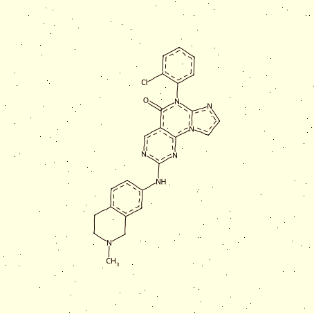 CN1CCc2ccc(Nc3ncc4c(=O)n(-c5ccccc5Cl)c5nccn5c4n3)cc2C1